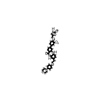 COc1cc(-c2ccc3c(c2)Nc2ccc(CCOc4ccc(N5CCOCC5)cc4)cc2NC3=O)ccc1OCC1CNC(=O)O1